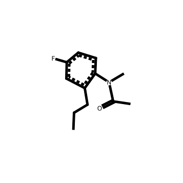 CCCc1cc(F)ccc1N(C)C(C)=O